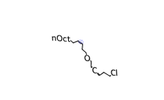 CCCCCCCCC/C=C\CCOCC=C=CCCCl